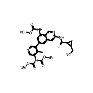 CCCCOC(=O)Nc1cc(-c2cncc(N(C(=O)OC(C)(C)C)C(=O)OC(C)(C)C)c2C)cc2cc(NC(=O)C3CC3CC#N)ncc12